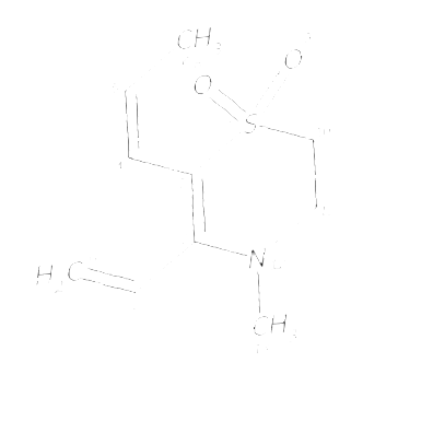 C=CC1=C(/C=C\C)S(=O)(=O)CCN1C